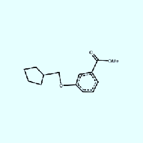 COC(=O)c1cccc(OCC2CCCC2)c1